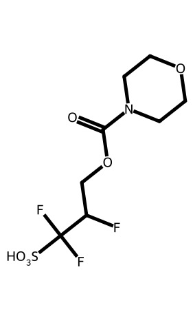 O=C(OCC(F)C(F)(F)S(=O)(=O)O)N1CCOCC1